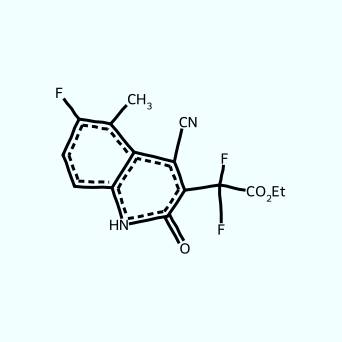 CCOC(=O)C(F)(F)c1c(C#N)c2c(C)c(F)ccc2[nH]c1=O